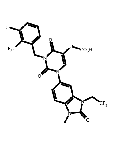 Cn1c(=O)n(CC(F)(F)F)c2cc(-n3cc(OC(=O)O)c(=O)n(Cc4cccc(Cl)c4C(F)(F)F)c3=O)ccc21